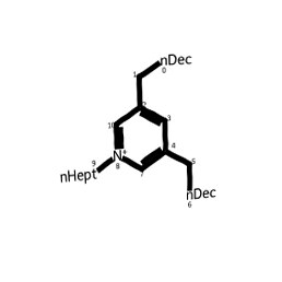 CCCCCCCCCCCc1cc(CCCCCCCCCCC)c[n+](CCCCCCC)c1